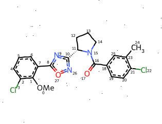 COc1c(Cl)cccc1-c1nc([C@@H]2CCCN2C(=O)c2ccc(Cl)c(C)c2)no1